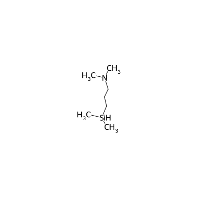 CN(C)CCC[SiH](C)C